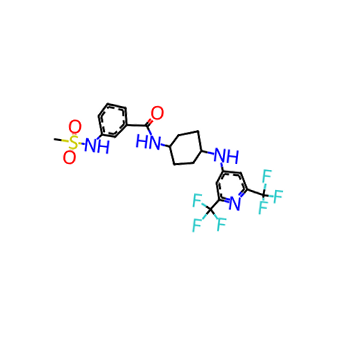 CS(=O)(=O)Nc1cccc(C(=O)NC2CCC(Nc3cc(C(F)(F)F)nc(C(F)(F)F)c3)CC2)c1